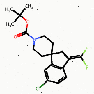 CC(C)(C)OC(=O)N1CCC2(CC1)CC(=C(F)F)c1ccc(Cl)cc12